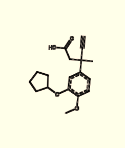 C#CC(C)(CC(=O)O)c1ccc(OC)c(OC2CCCC2)c1